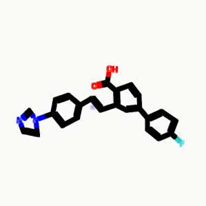 O=C(O)c1ccc(-c2ccc(F)cc2)cc1/C=C/c1ccc(-n2ccnc2)cc1